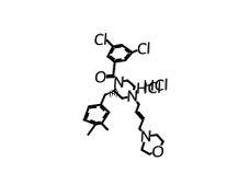 Cc1ccc(C[C@@H]2CN(CC=CCN3CCOCC3)CCN2C(=O)c2cc(Cl)cc(Cl)c2)cc1C.Cl.Cl